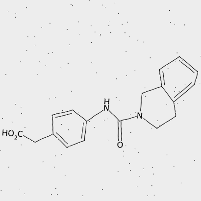 O=C(O)Cc1ccc(NC(=O)N2CCc3ccccc3C2)cc1